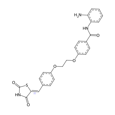 Nc1ccccc1NC(=O)c1ccc(OCCOc2ccc(/C=C3\SC(=O)NC3=O)cc2)cc1